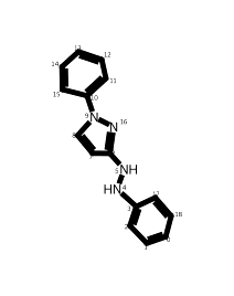 c1ccc(NNc2ccn(-c3ccccc3)n2)cc1